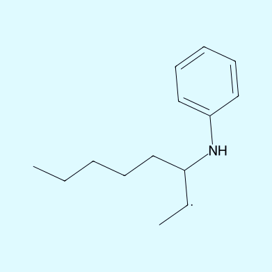 C[CH]C(CCCCC)Nc1ccccc1